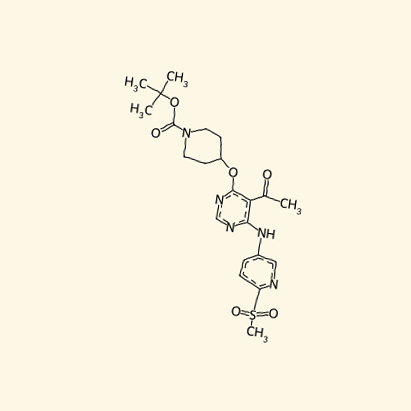 CC(=O)c1c(Nc2ccc(S(C)(=O)=O)nc2)ncnc1OC1CCN(C(=O)OC(C)(C)C)CC1